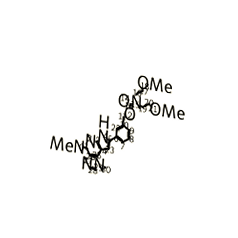 CNc1nc2[nH]c(-c3cccc(COC(=O)N(CCOC)CCOC)c3)cc2c2c1ncn2C